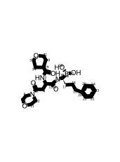 O=C(NC(CC(=O)N1CCOCC1)C(=O)N[C@@H](CCCc1ccccc1)B(O)O)C1CCOCC1